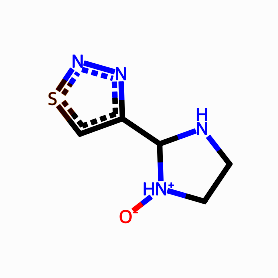 [O-][NH+]1CCNC1c1csnn1